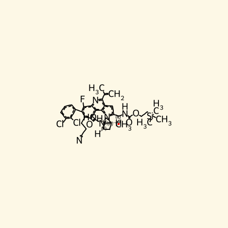 C=C(C)c1nc2c(F)c(-c3cccc(Cl)c3Cl)c(CCC#N)cc2c2c1cc([C@@H](C)NC(=O)OCC[Si](C)(C)C)n2[C@H]1[C@@H]2C[C@H]1N(C(=O)O)C2